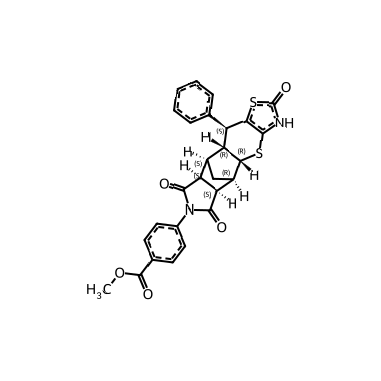 COC(=O)c1ccc(N2C(=O)[C@@H]3[C@H]4C[C@@H]([C@@H]3C2=O)[C@@H]2[C@@H](c3ccccc3)c3sc(=O)[nH]c3S[C@H]42)cc1